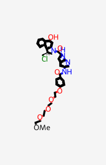 COCCOCCOCCOCCOc1ccc(C(=O)Nc2cnc3[nH]c(C(=O)N4C[C@@H](CCl)c5c4cc(O)c4ccccc54)cc3c2)cc1